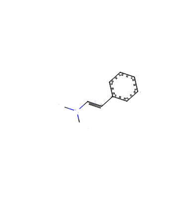 CCCN(C)/C=C/c1ccccc1